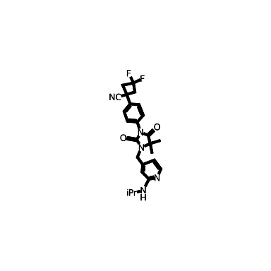 CC(C)Nc1cc(CN2C(=O)N(c3ccc(C4(C#N)CC(F)(F)C4)cc3)C(=O)C2(C)C)ccn1